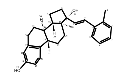 Cc1ccccc1C=C[C@]1(O)CC[C@H]2[C@@H]3CCc4cc(O)ccc4[C@H]3CC[C@@]21C